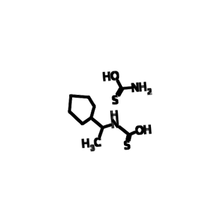 CC(NC(O)=S)C1CCCCC1.NC(O)=S